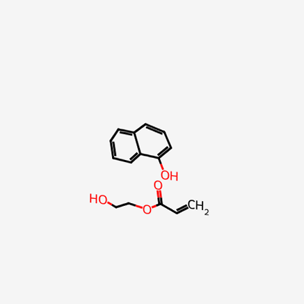 C=CC(=O)OCCO.Oc1cccc2ccccc12